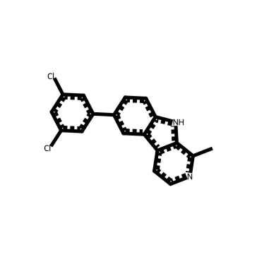 Cc1nccc2c1[nH]c1ccc(-c3cc(Cl)cc(Cl)c3)cc12